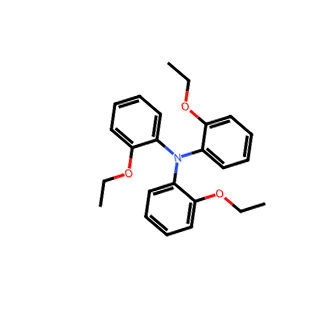 CCOc1ccccc1N(c1ccccc1OCC)c1ccccc1OCC